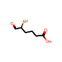 O=CC(S)CCCC(=O)O